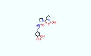 O=C(NCCc1ccc(O)c(O)c1)C1CCCN1C(=O)C1CCCN1C(=O)O